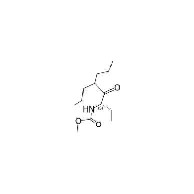 CCCC(CCC)C(=O)[C@H](CC)NC(=O)OC